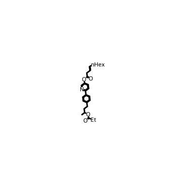 CCCCCCC=CCC(=O)Oc1ccc(-c2ccc(CCC(C)OC(=O)CC)cc2)nc1